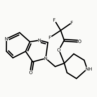 O=C(OC1(Cn2cnc3cnccc3c2=O)CCNCC1)C(F)(F)F